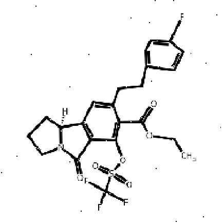 CCOC(=O)c1c(CCc2ccc(F)cc2)cc2c(c1OS(=O)(=O)C(F)(F)F)C(=O)N1CCC[C@@H]21